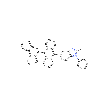 Cc1nc2cc(-c3c4ccccc4c(-c4cc5ccccc5c5ccccc45)c4ccccc34)ccc2n1-c1ccccc1